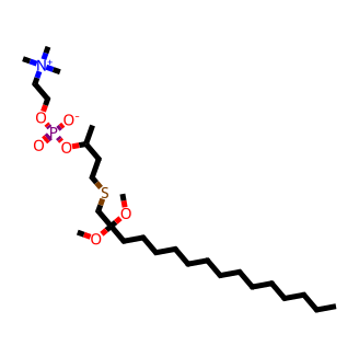 CCCCCCCCCCCCCCC(CSCCC(C)OP(=O)([O-])OCC[N+](C)(C)C)(OC)OC